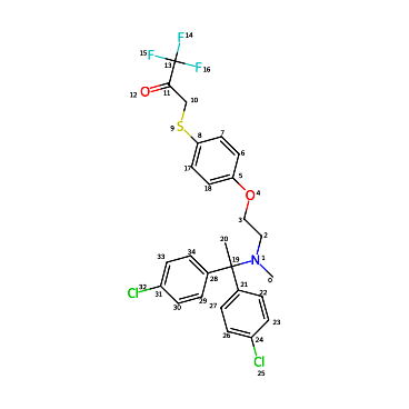 CN(CCOc1ccc(SCC(=O)C(F)(F)F)cc1)C(C)(c1ccc(Cl)cc1)c1ccc(Cl)cc1